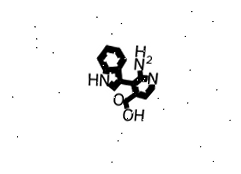 Nc1nccc(C(=O)O)c1-c1c[nH]c2ccccc12